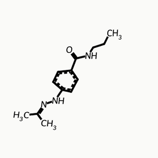 CCCNC(=O)c1ccc(NN=C(C)C)cc1